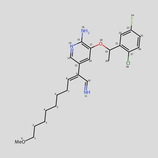 COCCCCCCC/C=C(\C=N)c1cnc(N)c(OC(C)c2cc(F)ccc2Cl)c1